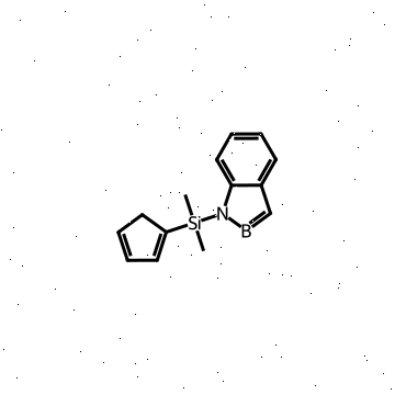 C[Si](C)(C1=CC=CC1)n1bcc2ccccc21